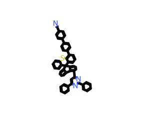 N#Cc1ccc(-c2ccc(-c3cccc4c3Sc3ccccc3C43c4ccccc4-c4c(-c5cc(-c6ccccc6)nc(-c6ccccc6)n5)cccc43)cc2)cc1